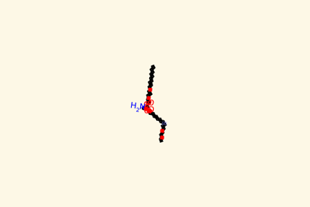 CCCCCCCCC=CCCCCCCCC(=O)OCC(CN)OC(=O)CCCCCCC/C=C\CCCCCCCC